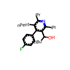 CCCCCc1c(C(C)C)nc(C(C)C)c(C(O)CCCC)c1-c1ccc(F)cc1